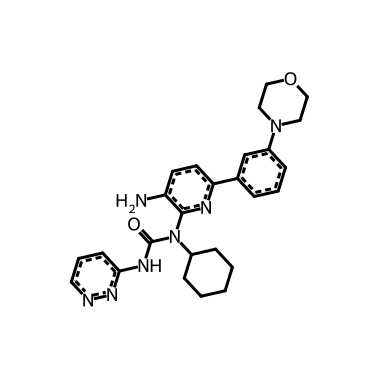 Nc1ccc(-c2cccc(N3CCOCC3)c2)nc1N(C(=O)Nc1cccnn1)C1CCCCC1